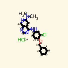 CN(C)c1cc2c(Nc3ccc(OCc4ccccc4)c(Cl)c3)ncnc2cn1.Cl